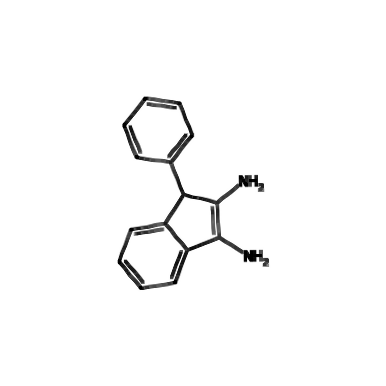 NC1=C(N)C(c2ccccc2)c2ccccc21